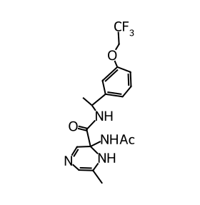 CC(=O)NC1(C(=O)NC(C)c2cccc(OCC(F)(F)F)c2)C=NC=C(C)N1